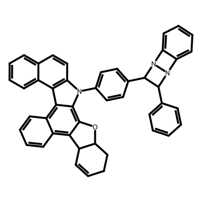 C1=CC2c3c(c4c(c5ccccc35)c3c5ccccc5ccc3n4-c3ccc(C4C(c5ccccc5)n5c6ccccc6n54)cc3)OC2CC1